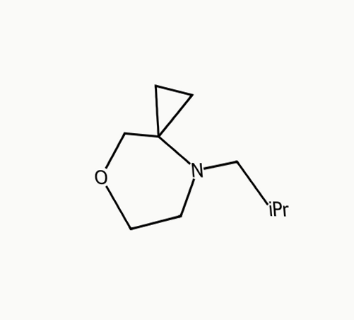 CC(C)CN1CCOCC12CC2